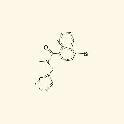 CN(Cc1ccccc1)C(=O)c1ccc(Br)c2cccnc12